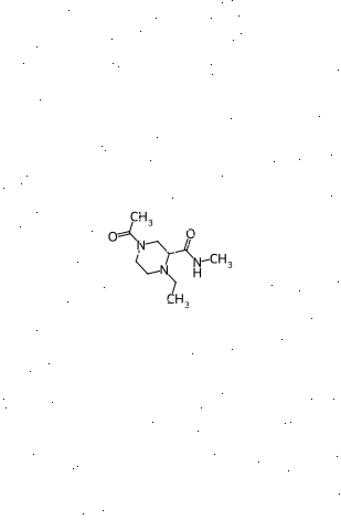 CCN1CCN(C(C)=O)CC1C(=O)NC